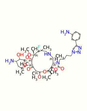 CC[C@H]1OC(=O)[C@H](C)C(=O)[C@H](C)[C@@H](O[C@@H]2O[C@H](C)CC(N)C2O)[C@](C)(OC)CC(C)(F)CN[C@H](C)[C@H]2N(CCCCn3cc(-c4cccc(N)c4)nn3)C(=O)O[C@]12C